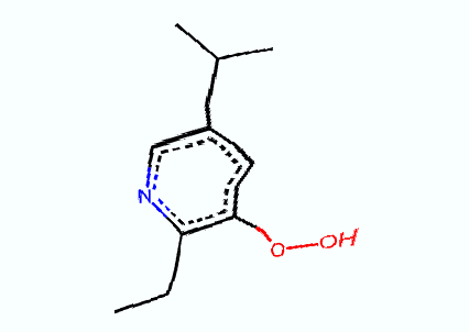 CCc1ncc(C(C)C)cc1OO